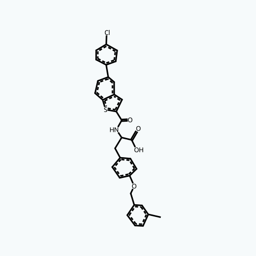 Cc1cccc(COc2ccc(CC(NC(=O)c3cc4cc(-c5ccc(Cl)cc5)ccc4s3)C(=O)O)cc2)c1